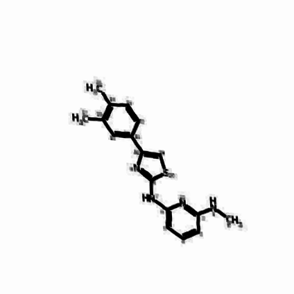 CNc1cccc(Nc2nc(-c3ccc(C)c(C)c3)cs2)n1